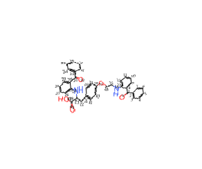 O=C(c1ccccc1)c1ccccc1NCCOc1ccc(CC(Nc2ccccc2C(=O)c2ccccc2)C(=O)O)cc1